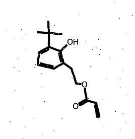 C=CC(=O)OCCc1c[c]cc(C(C)(C)C)c1O